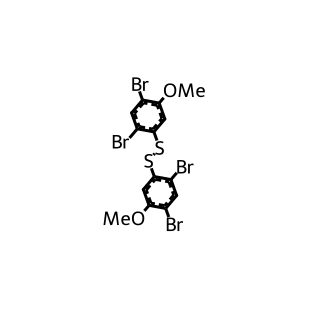 COc1cc(SSc2cc(OC)c(Br)cc2Br)c(Br)cc1Br